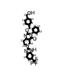 O=c1c2c(nc(OCc3ccc(CO)cc3)n1-c1ccccc1)CCN(c1nc3ccc(C(F)(F)F)cc3[nH]1)C2